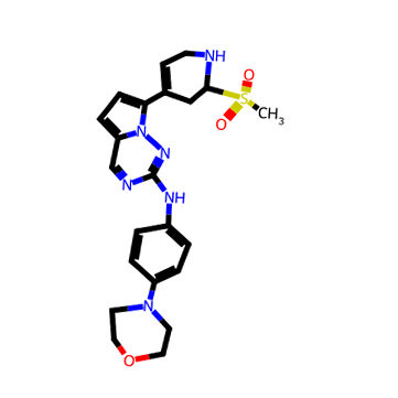 CS(=O)(=O)C1CC(c2ccc3cnc(Nc4ccc(N5CCOCC5)cc4)nn23)=CCN1